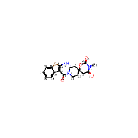 CCN1C(=O)CC2(CCN(C(=O)c3c(N)sc4ccccc34)CC2)OC1=O